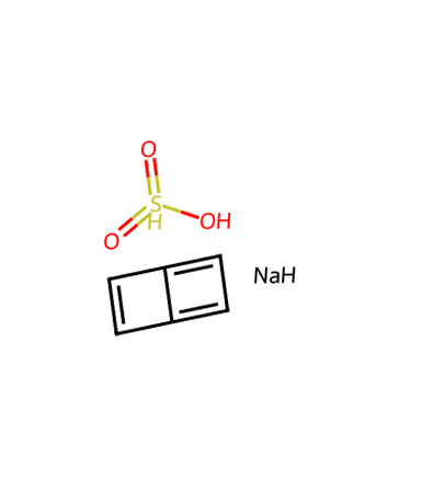 O=[SH](=O)O.[NaH].c1cc2ccc1-2